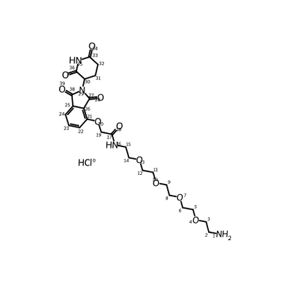 Cl.NCCOCCOCCOCCOCCNC(=O)COc1cccc2c1C(=O)N(C1CCC(=O)NC1=O)C2=O